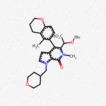 Cc1c(-c2c(C(OC(C)(C)C)C(=O)O)n(C)c(=O)c3c2ccn3CC2CCOCC2)ccc2c1CCCO2